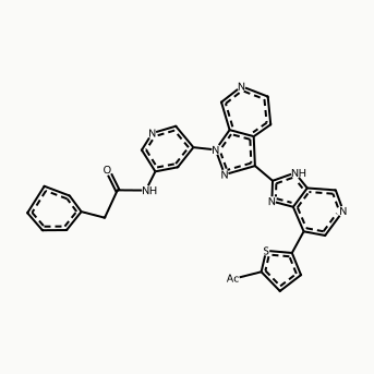 CC(=O)c1ccc(-c2cncc3[nH]c(-c4nn(-c5cncc(NC(=O)Cc6ccccc6)c5)c5cnccc45)nc23)s1